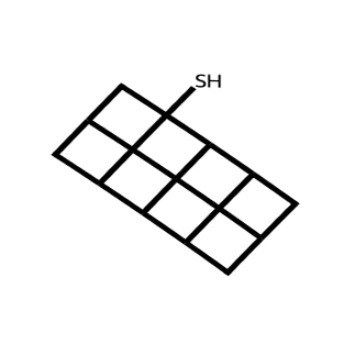 SC12CC3CC4C5C6CC7CC8C1C5(C768)C342